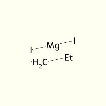 [CH2]CC.[I][Mg][I]